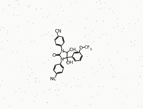 CC1N(c2ccc(C#N)cc2)C(=O)N(c2ccc(C#N)cc2)C1(O)c1cccc(OC(F)(F)F)c1